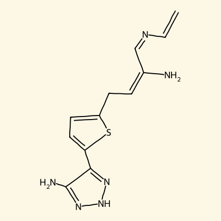 C=C/N=C\C(N)=C/Cc1ccc(-c2n[nH]nc2N)s1